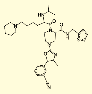 CC(C)NC(CCCCN1CCCCC1)C(=O)N1CCN(C2=NC(C)C(c3cccc(C#N)c3)O2)C[C@H]1C(=O)NCc1cccs1